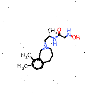 Cc1ccc2c(c1C)CN(C[C@H](C)NC(=O)CNO)CCC2